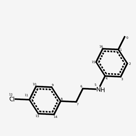 Cc1ccc(NCCc2ccc(Cl)cc2)cc1